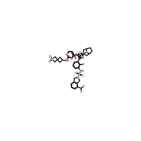 CC(C)(C)OC(=O)N1CC2CCC(C1)N2c1nc(-c2cccc(NS(=O)(=O)N3Cc4cccc(C(F)F)c4C3)c2F)c(-c2ccnc(NC3CC4(C3)CS(=O)(=O)C4)n2)s1